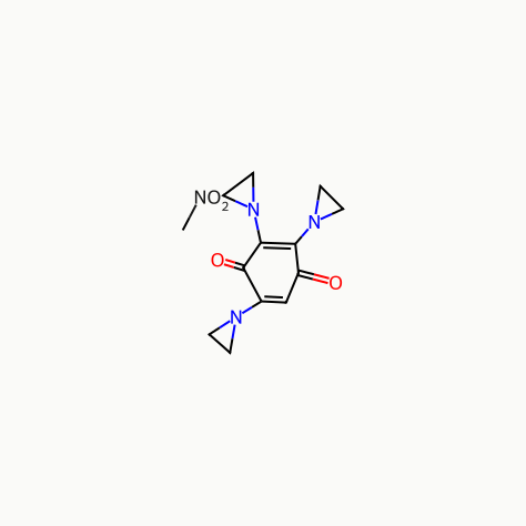 C[N+](=O)[O-].O=C1C=C(N2CC2)C(=O)C(N2CC2)=C1N1CC1